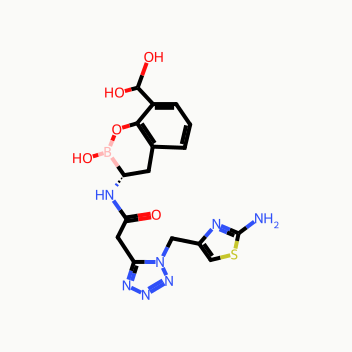 Nc1nc(Cn2nnnc2CC(=O)N[C@H]2Cc3cccc(C(O)O)c3OB2O)cs1